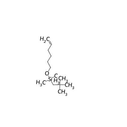 C=CCCCCO[Si](C)(C)CC(C)(C)C